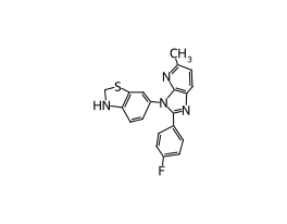 Cc1ccc2nc(-c3ccc(F)cc3)n(-c3ccc4c(c3)SCN4)c2n1